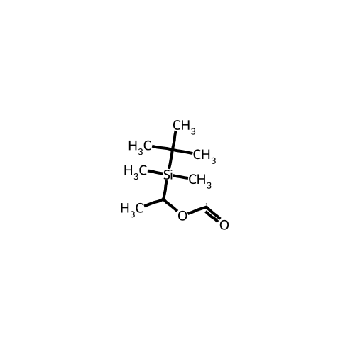 CC(O[C]=O)[Si](C)(C)C(C)(C)C